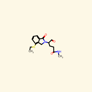 CCSc1cccc2c1CN(C(C=O)CCC(=O)NC)C2=O